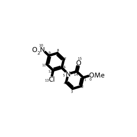 COc1cccn(-c2ccc([N+](=O)[O-])cc2Cl)c1=O